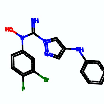 N=C(N(O)c1ccc(F)c(Br)c1)n1cc(Nc2ccccc2)cn1